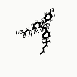 CCCCC(C)(C)c1ccc(CC(N)(c2cccc(NCC(=O)O)n2)S(=O)(=O)c2ccc(Cl)cc2)cc1